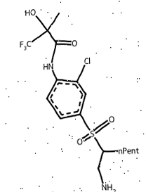 CCCCCC(CN)S(=O)(=O)c1ccc(NC(=O)C(C)(O)C(F)(F)F)c(Cl)c1